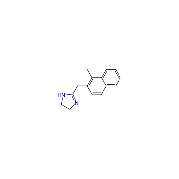 Cc1c(CC2=NCCN2)ccc2ccccc12